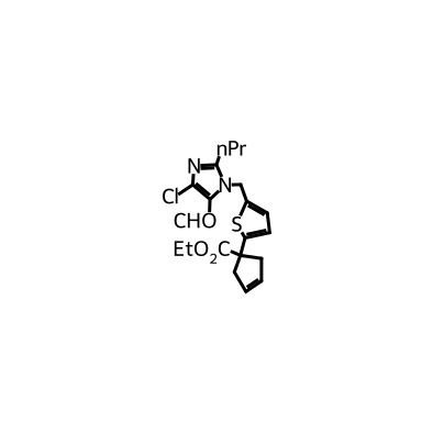 CCCc1nc(Cl)c(C=O)n1Cc1ccc(C2(C(=O)OCC)CC=CC2)s1